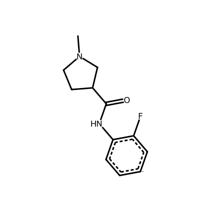 CN1CCC(C(=O)Nc2cc[c]cc2F)C1